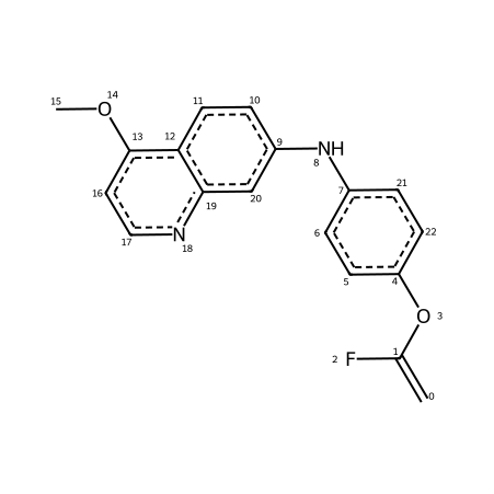 C=C(F)Oc1ccc(Nc2ccc3c(OC)ccnc3c2)cc1